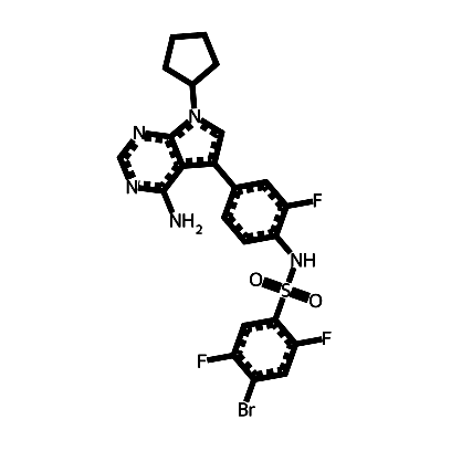 Nc1ncnc2c1c(-c1ccc(NS(=O)(=O)c3cc(F)c(Br)cc3F)c(F)c1)cn2C1CCCC1